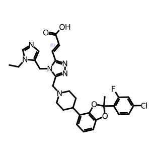 CCn1cncc1Cn1c(/C=C/C(=O)O)nnc1CN1CCC(c2cccc3c2OC(C)(c2ccc(Cl)cc2F)O3)CC1